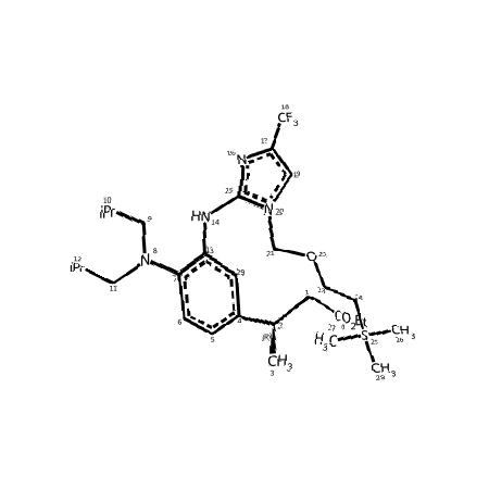 CCOC(=O)C[C@@H](C)c1ccc(N(CC(C)C)CC(C)C)c(Nc2nc(C(F)(F)F)cn2COCCS(C)(C)C)c1